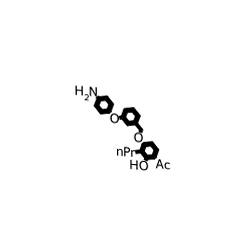 CCCc1c(OCc2cccc(Oc3ccc(N)cc3)c2)ccc(C(C)=O)c1O